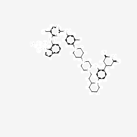 CS(=O)(=O)n1ccc2cccc(Nc3nc(Nc4ccc(N5CCC(N6CCN(CCC7CCCCN7c7ccc(C8CC(=O)NC(=O)C8)c(F)c7)CC6)CC5)c(F)c4)ncc3Cl)c21